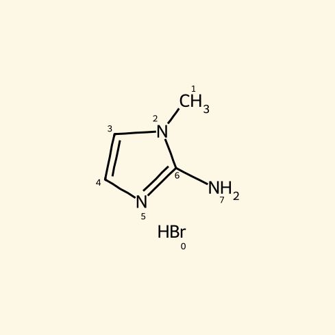 Br.Cn1ccnc1N